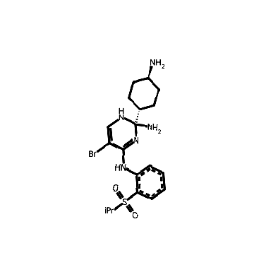 CC(C)S(=O)(=O)c1ccccc1NC1=NC(N)([C@H]2CC[C@H](N)CC2)NC=C1Br